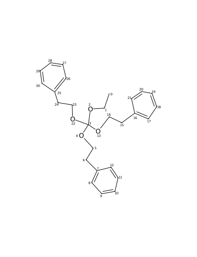 CCOC(OCCc1ccccc1)(OCCc1ccccc1)OCCc1ccccc1